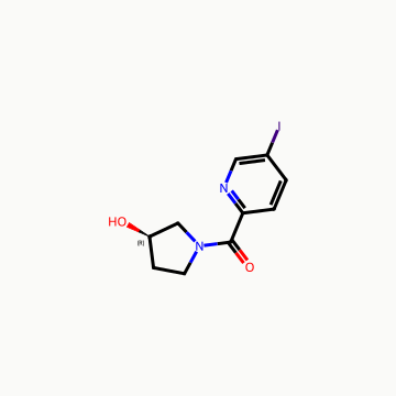 O=C(c1ccc(I)cn1)N1CC[C@@H](O)C1